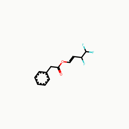 O=C(Cc1ccccc1)OC=CC(F)C(F)F